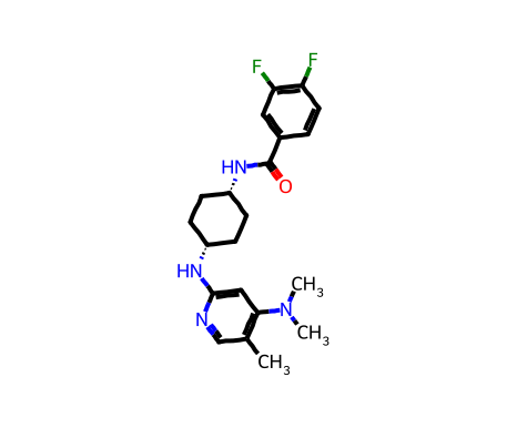 Cc1cnc(N[C@H]2CC[C@@H](NC(=O)c3ccc(F)c(F)c3)CC2)cc1N(C)C